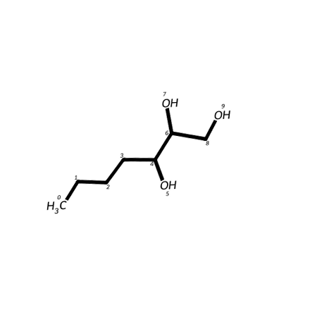 CCCCC(O)C(O)CO